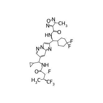 Cc1nonc1C(=O)N[C@H](c1cn2ncc(C(NC(=O)[C@H](F)[C@H](C)C(F)(F)F)C3CC3)cc2n1)C1CCC(F)(F)CC1